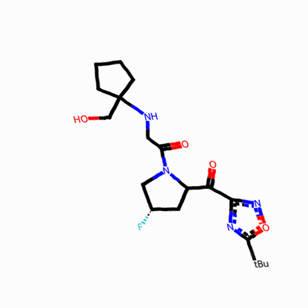 CC(C)(C)c1nc(C(=O)C2C[C@H](F)CN2C(=O)CNC2(CO)CCCC2)no1